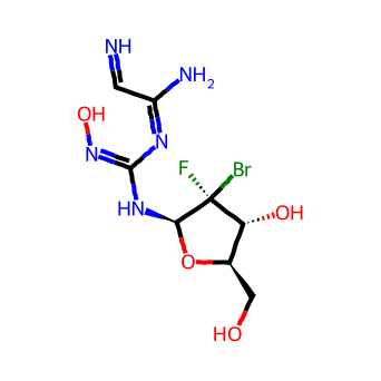 N=C/C(N)=N\C(=N/O)N[C@@H]1O[C@H](CO)[C@@H](O)[C@]1(F)Br